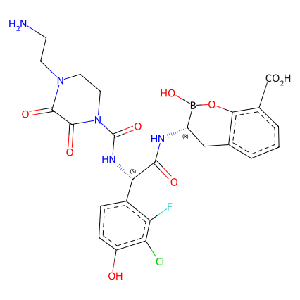 NCCN1CCN(C(=O)N[C@H](C(=O)N[C@H]2Cc3cccc(C(=O)O)c3OB2O)c2ccc(O)c(Cl)c2F)C(=O)C1=O